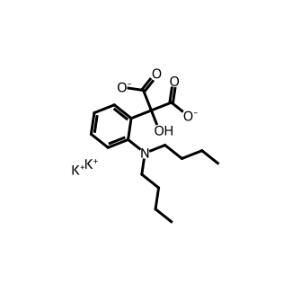 CCCCN(CCCC)c1ccccc1C(O)(C(=O)[O-])C(=O)[O-].[K+].[K+]